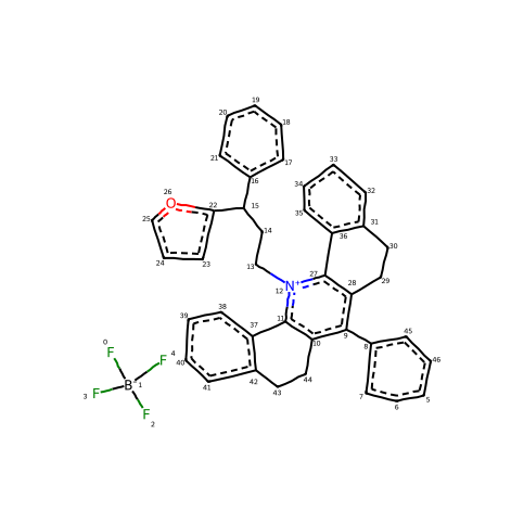 F[B-](F)(F)F.c1ccc(-c2c3c([n+](CCC(c4ccccc4)c4ccco4)c4c2CCc2ccccc2-4)-c2ccccc2CC3)cc1